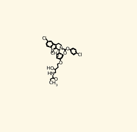 CCC(=O)NCC(O)CCOc1ccc([C@H]2c3c(c4cc(Cl)ccc4n3C)CCN2C(=O)Oc2ccc(Cl)cc2)cc1